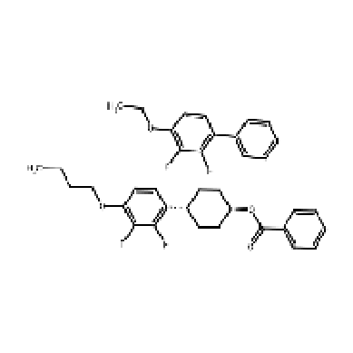 CCCCOc1ccc([C@H]2CC[C@H](OC(=O)c3ccccc3)CC2)c(F)c1F.CCOc1ccc(-c2ccccc2)c(F)c1F